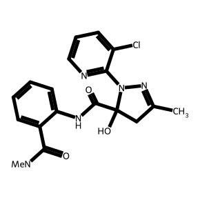 CNC(=O)c1ccccc1NC(=O)C1(O)CC(C)=NN1c1ncccc1Cl